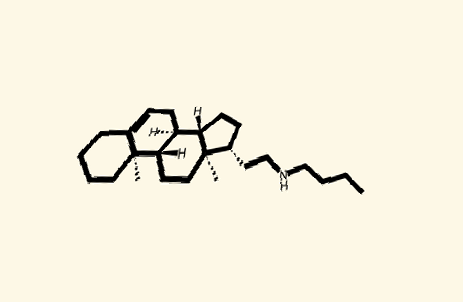 CCCCNCC[C@H]1CC[C@H]2[C@@H]3CC=C4CCCC[C@]4(C)[C@H]3CC[C@]12C